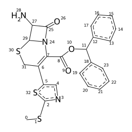 CSc1ncc(C2=C(C(=O)OC(c3ccccc3)c3ccccc3)N3C(=O)C(N)C3SC2)s1